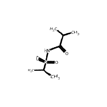 CC(C)C(=O)NS(=O)(=O)C(C)C